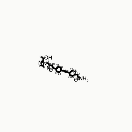 CC(O)c1nccn1Cc1cc(-c2ccc(C#Cc3ccc(CC(N)=O)nc3)cc2)on1